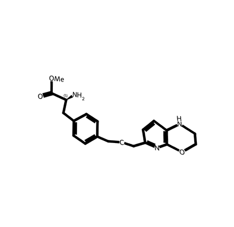 COC(=O)[C@@H](N)Cc1ccc(CCCc2ccc3c(n2)OCCN3)cc1